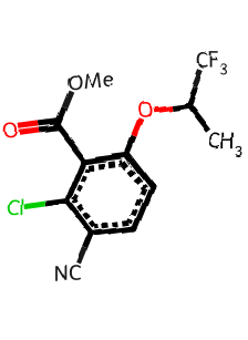 COC(=O)c1c(OC(C)C(F)(F)F)ccc(C#N)c1Cl